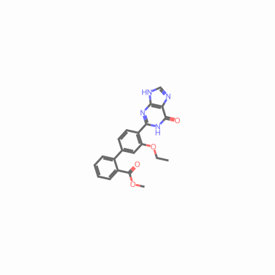 CCOc1cc(-c2ccccc2C(=O)OC)ccc1-c1nc2[nH]cnc2c(=O)[nH]1